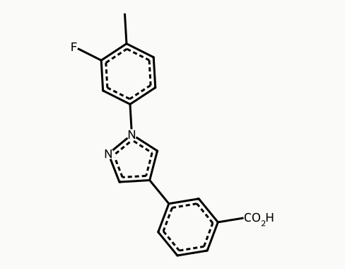 Cc1ccc(-n2cc(-c3cccc(C(=O)O)c3)cn2)cc1F